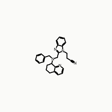 N#CCCn1c(CN(Cc2ccccc2)C2CCCc3cccnc32)nc2ccccc21